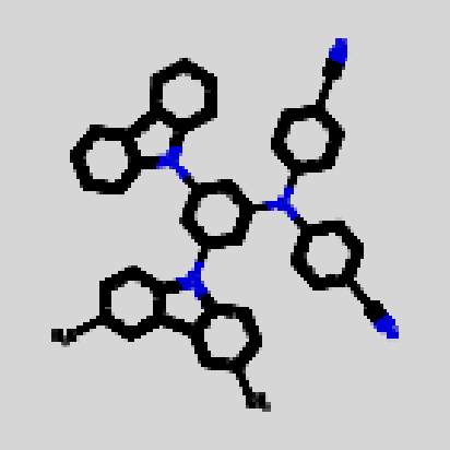 Cc1ccc2c(c1)c1cc(C)ccc1n2-c1cc(N(c2ccc(C#N)cc2)c2ccc(C#N)cc2)cc(-n2c3ccccc3c3ccccc32)c1